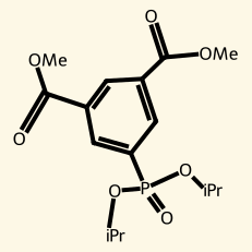 COC(=O)c1cc(C(=O)OC)cc(P(=O)(OC(C)C)OC(C)C)c1